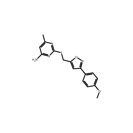 COc1ccc(-c2cc(CSc3nc(C)cc(N)n3)on2)cc1